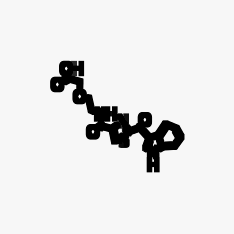 O=C(O)COCCNC(=O)c1csc(C(=O)c2c[nH]c3ccccc23)n1